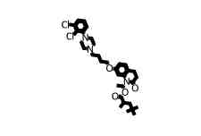 CC(CC(C)(C)C)C(=O)OC(C)N1C(=O)CCc2ccc(OCCCCN3CCN(c4cccc(Cl)c4Cl)CC3)cc21